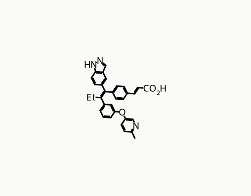 CC/C(=C(/c1ccc(/C=C/C(=O)O)cc1)c1ccc2[nH]ncc2c1)c1cccc(Oc2ccc(C)nc2)c1